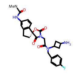 CNC(=O)Nc1ccc2c(c1)CC[C@@]21OC(=O)N(CC(=O)N(Cc2ccc(F)cc2)C2CC(N)C2)C1=O